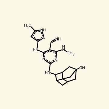 CNc1nc(NC2C3CC4CC2CC(O)(C4)C3)nc(Nc2cc(C)[nH]n2)c1C=N